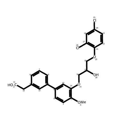 COc1ccc(-c2cccc(CC(=O)O)c2)cc1OCC(O)COc1ccc(Cl)cc1Cl